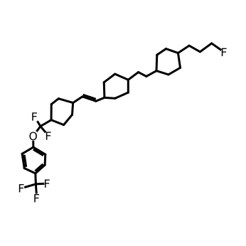 FCCCC1CCC(CCC2CCC(/C=C/C3CCC(C(F)(F)Oc4ccc(C(F)(F)F)cc4)CC3)CC2)CC1